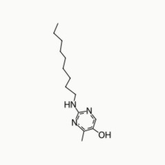 CCCCCCCCCNc1ncc(O)c(C)n1